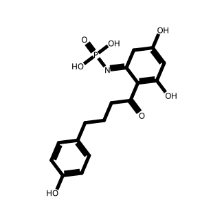 O=C(CCCc1ccc(O)cc1)C1=C(O)C=C(O)CC1=NP(=O)(O)O